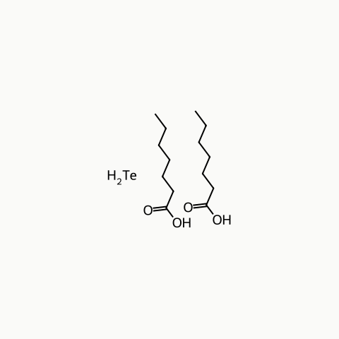 CCCCCCC(=O)O.CCCCCCC(=O)O.[TeH2]